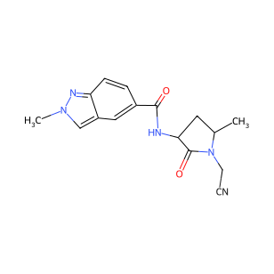 CC1CC(NC(=O)c2ccc3nn(C)cc3c2)C(=O)N1CC#N